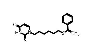 C=C(SCCCCCCn1ccc(=O)[nH]c1=S)c1ccccc1